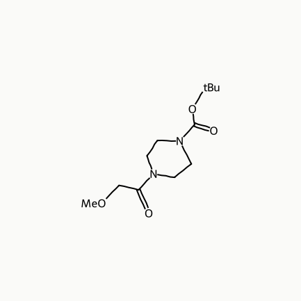 COCC(=O)N1CCN(C(=O)OC(C)(C)C)CC1